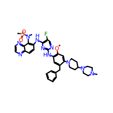 COc1cc(N2CCC(N3CCN(C)CC3)CC2)c(Cc2ccccc2)cc1Nc1ncc(F)c(Nc2ccc3nccnc3c2N(C)S(C)(=O)=O)n1